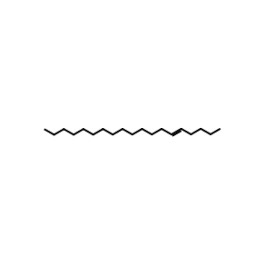 CCCCC=CCCCCCCCCCCCCC